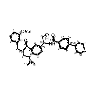 COc1cccc(CN(CCN(C)C)C(=O)c2cccc([C@@H](CO)NC(=O)c3ccc(-c4ccncc4)cc3)c2)c1